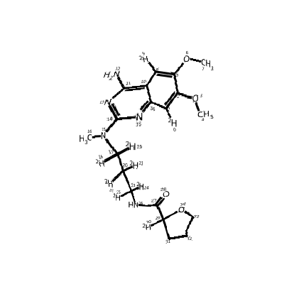 [2H]c1c(OC)c(OC)c([2H])c2c(N)nc(N(C)C([2H])([2H])C([2H])([2H])C([2H])([2H])NC(=O)C3([2H])CCCO3)nc12